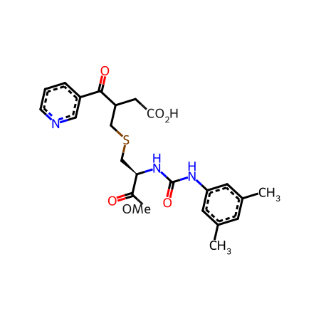 COC(=O)[C@@H](CSCC(CC(=O)O)C(=O)c1cccnc1)NC(=O)Nc1cc(C)cc(C)c1